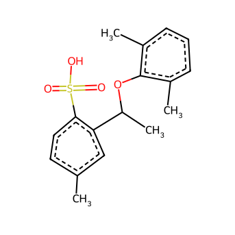 Cc1ccc(S(=O)(=O)O)c(C(C)Oc2c(C)cccc2C)c1